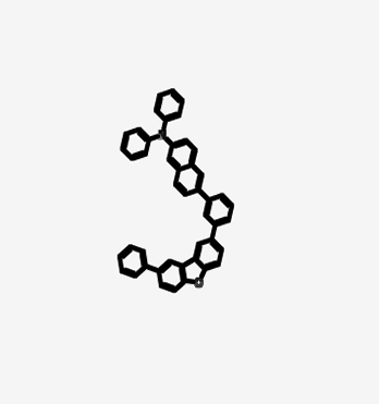 c1ccc(-c2ccc3oc4ccc(-c5cccc(-c6ccc7cc(N(c8ccccc8)c8ccccc8)ccc7c6)c5)cc4c3c2)cc1